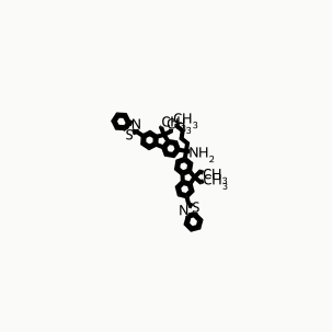 CCCCCC(N)(c1ccc2c(c1)C(CC)(CC)c1cc(-c3nc4ccccc4s3)ccc1-2)c1ccc2c(c1)C(CC)(CC)c1cc(-c3nc4ccccc4s3)ccc1-2